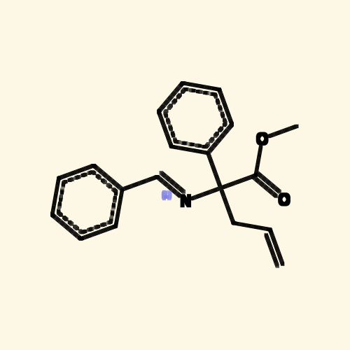 C=CCC(/N=C/c1ccccc1)(C(=O)OC)c1ccccc1